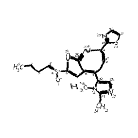 CCCC[S+]([O-])c1cc2c(-c3cnc(C)n3C)cc(-c3nccs3)nc2o1